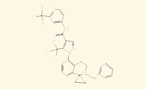 O=C(Nc1ccnc(C(F)(F)F)c1)c1cnn(-c2cccc3c2CCN(Cc2ccccc2)C32CC2)c1C(F)(F)F